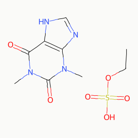 CCOS(=O)(=O)O.Cn1c(=O)c2[nH]cnc2n(C)c1=O